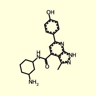 Cc1n[nH]c2nc(-c3ccc(O)cc3)cc(C(=O)NC3CCCC(N)C3)c12